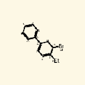 CCC1=CC=C(c2ccccc2)C[C]1Br